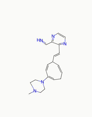 CN1CCN(C2=C/CC=CC(/C=C/c3nccnc3C=N)/C=C\2)CC1